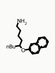 CCCCC(CCCCN)Oc1ccc2ccccc2c1